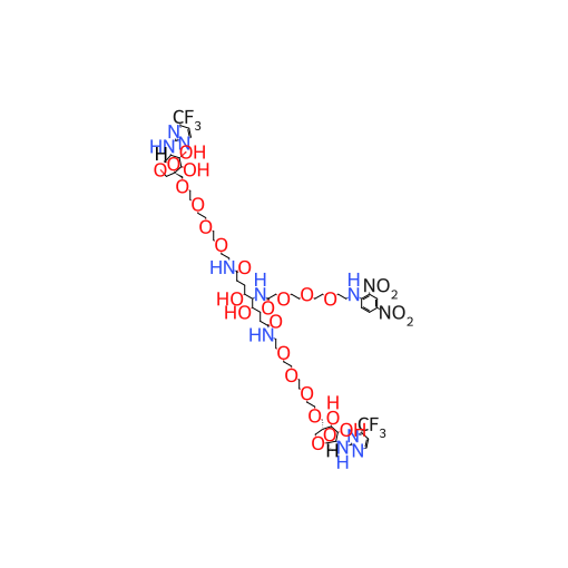 O=C(CCC(O)C(NC(=O)COCCOCCOCCNc1ccc([N+](=O)[O-])cc1[N+](=O)[O-])C(O)CCC(=O)NCCOCCOCCOCCOC[C@@]12CO[C@@H](O1)[C@H](Nc1nccc(C(F)(F)F)n1)[C@@H](O)[C@H]2O)NCCOCCOCCOCCOC[C@@]12CO[C@@H](O1)[C@H](Nc1nccc(C(F)(F)F)n1)[C@@H](O)[C@H]2O